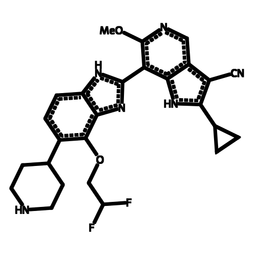 COc1ncc2c(C#N)c(C3CC3)[nH]c2c1-c1nc2c(OCC(F)F)c(C3CCNCC3)ccc2[nH]1